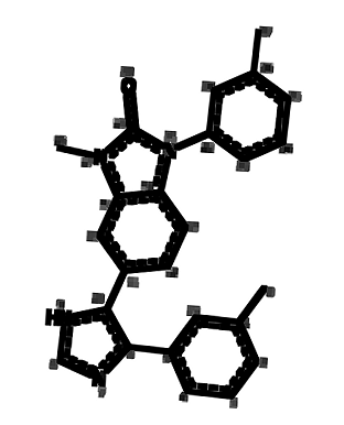 Cc1cccc(-c2nc[nH]c2-c2ccc3c(c2)n(C)c(=O)n3-c2cccc(C)c2)c1